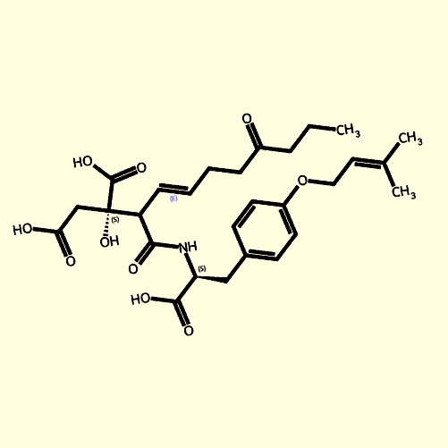 CCCC(=O)CC/C=C/C(C(=O)N[C@@H](Cc1ccc(OCC=C(C)C)cc1)C(=O)O)[C@@](O)(CC(=O)O)C(=O)O